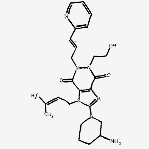 CC(C)=CCn1c(N2CCCC(N)C2)nc2c(=O)n(CCO)n(C/C=C/c3ccccn3)c(=O)c21